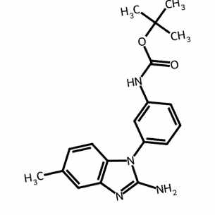 Cc1ccc2c(c1)nc(N)n2-c1cccc(NC(=O)OC(C)(C)C)c1